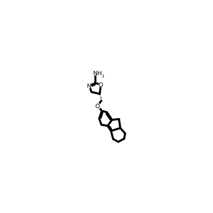 NC1=NC[C@@H](COC2=CCC3=C4CCCCC4CC3=C2)O1